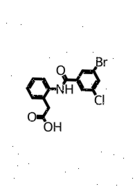 O=C(O)Cc1ccccc1NC(=O)c1cc(Cl)cc(Br)c1